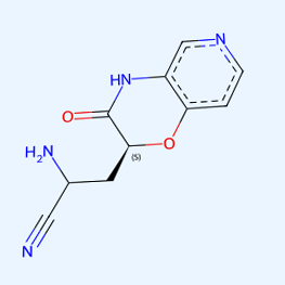 N#CC(N)C[C@@H]1Oc2ccncc2NC1=O